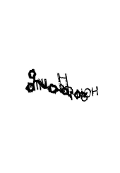 O=C(O)CN1CCN(CC2CC(c3ccc(C=NNCC(c4ccccc4)c4ccccc4)cc3)NO2)CC1